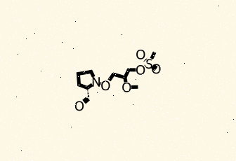 COC(CON1CCC[C@H]1C=O)COS(C)(=O)=O